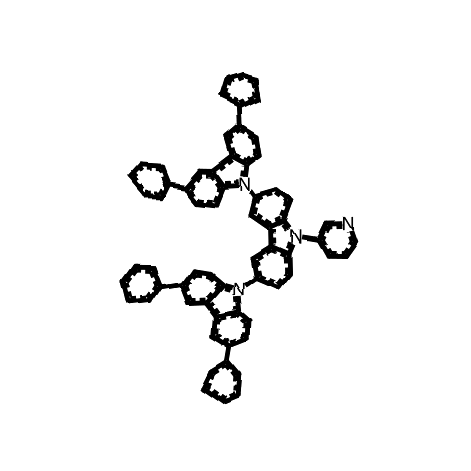 c1ccc(-c2ccc3c(c2)c2cc(-c4ccccc4)ccc2n3-c2ccc3c(c2)c2cc(-n4c5ccc(-c6ccccc6)cc5c5cc(-c6ccccc6)ccc54)ccc2n3-c2cccnc2)cc1